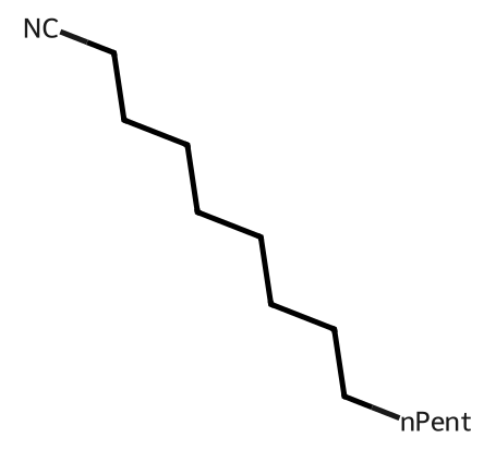 [CH2]CCCCCCCCCCCCC#N